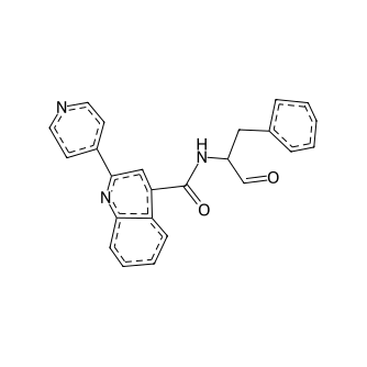 O=CC(Cc1ccccc1)NC(=O)c1cc(-c2ccncc2)nc2ccccc12